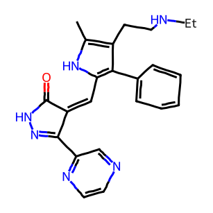 CCNCCc1c(C)[nH]c(C=C2C(=O)NN=C2c2cnccn2)c1-c1ccccc1